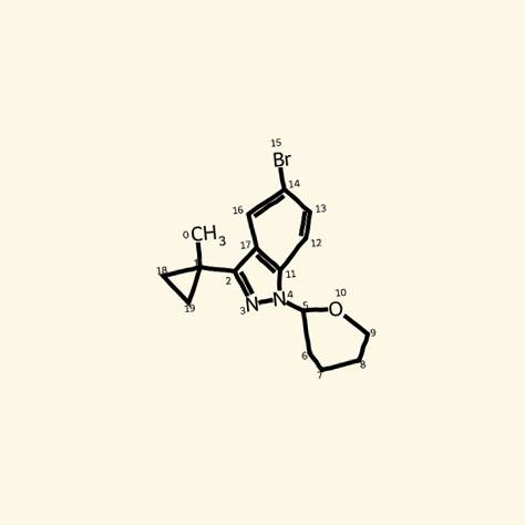 CC1(c2nn(C3CCCCO3)c3ccc(Br)cc23)CC1